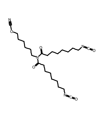 N#COCCCCCCN(C(=O)CCCCCCCN=C=O)C(=O)CCCCCCCN=C=O